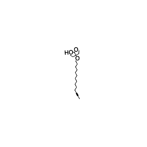 CC#CCCCCCCCCCCCOC(CC)(CC)C(=O)O